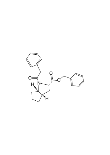 O=C(OCc1ccccc1)[C@@H]1C[C@@H]2CCC[C@@H]2N1C(=O)Cc1ccccc1